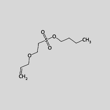 C=CCOCCS(=O)(=O)OCCCC